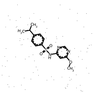 COc1cc(NS(=O)(=O)c2ccc(C(C)C)cc2)ncn1